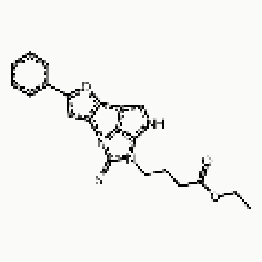 CCOC(=O)CCCn1c(=S)n2c3cc(-c4ccccc4)oc3c3c[nH]c1c32